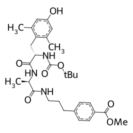 COC(=O)c1ccc(CCCNC(=O)[C@@H](C)NC(=O)[C@H](Cc2c(C)cc(O)cc2C)NC(=O)OC(C)(C)C)cc1